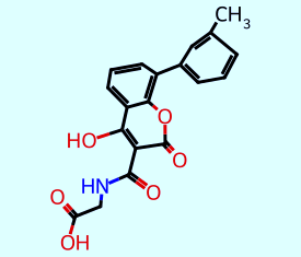 Cc1cccc(-c2cccc3c(O)c(C(=O)NCC(=O)O)c(=O)oc23)c1